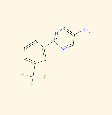 Nc1cnc(-c2cccc(C(F)(F)F)c2)nc1